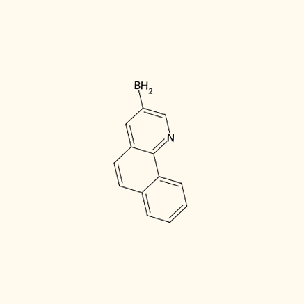 Bc1cnc2c(ccc3ccccc32)c1